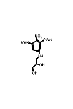 CNc1cc(NCC(O)CO)cc(NC)c1[N+](=O)[O-]